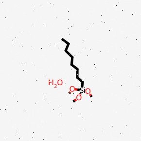 CCCCCCCC[Si](OC)(OC)OC.O